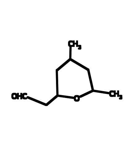 CC1CC(C)OC(CC=O)C1